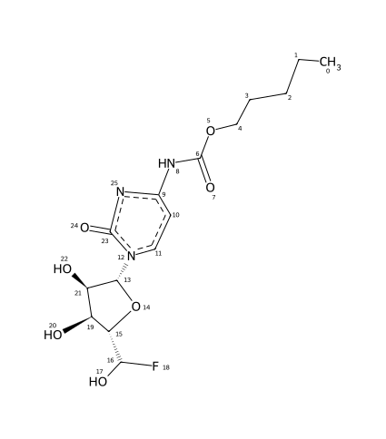 CCCCCOC(=O)Nc1ccn([C@@H]2O[C@H](C(O)F)[C@@H](O)[C@H]2O)c(=O)n1